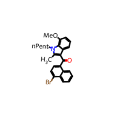 CCCCCn1c(C)c(C(=O)c2ccc(Br)c3ccccc23)c2cccc(OC)c21